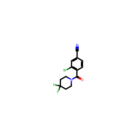 N#Cc1ccc(C(=O)N2CCC(F)(F)CC2)c(Br)c1